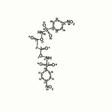 O=C(CC(=O)ONS(=O)(=O)c1ccc([N+](=O)[O-])cc1)ONS(=O)(=O)c1ccc([N+](=O)[O-])cc1